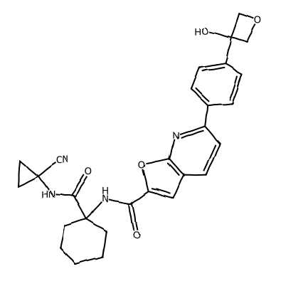 N#CC1(NC(=O)C2(NC(=O)c3cc4ccc(-c5ccc(C6(O)COC6)cc5)nc4o3)CCCCC2)CC1